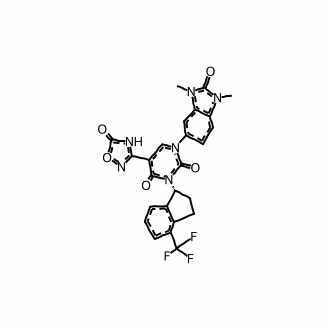 Cn1c(=O)n(C)c2cc(-n3cc(-c4noc(=O)[nH]4)c(=O)n([C@@H]4CCc5c4cccc5C(F)(F)F)c3=O)ccc21